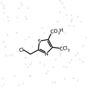 O=C(O)c1sc(CCl)nc1C(Cl)(Cl)Cl